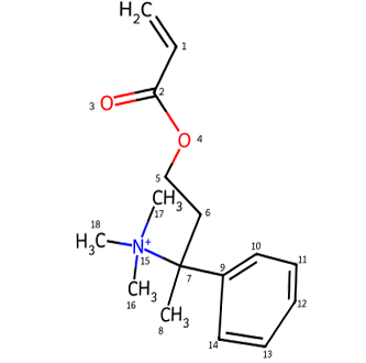 C=CC(=O)OCCC(C)(c1ccccc1)[N+](C)(C)C